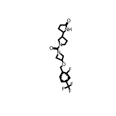 O=C1CCC(C2CCN(C(=O)N3CC(OCc4ccc(C(F)(F)F)cc4F)C3)C2)N1